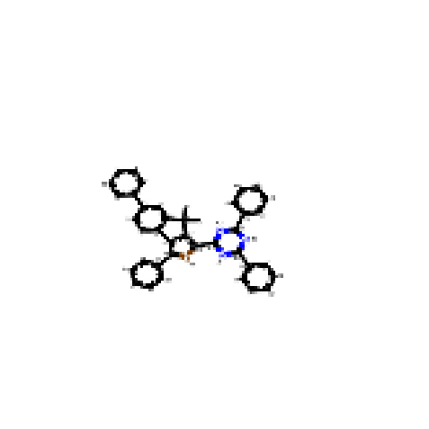 CC1(C)c2cc(-c3ccccc3)ccc2-c2c(-c3ccccc3)sc(-c3nc(-c4ccccc4)nc(-c4ccccc4)n3)c21